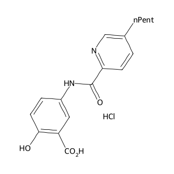 CCCCCc1ccc(C(=O)Nc2ccc(O)c(C(=O)O)c2)nc1.Cl